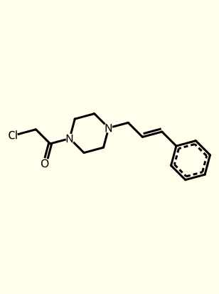 O=C(CCl)N1CCN(CC=Cc2ccccc2)CC1